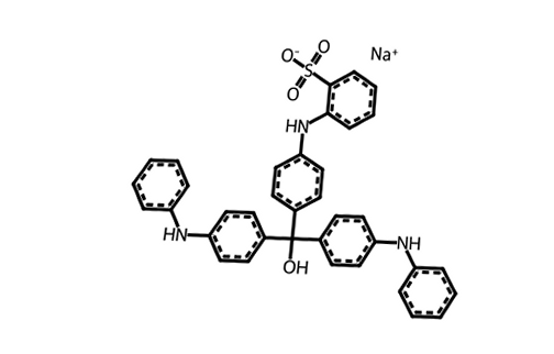 O=S(=O)([O-])c1ccccc1Nc1ccc(C(O)(c2ccc(Nc3ccccc3)cc2)c2ccc(Nc3ccccc3)cc2)cc1.[Na+]